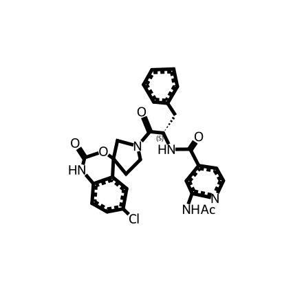 CC(=O)Nc1cc(C(=O)N[C@@H](Cc2ccccc2)C(=O)N2CCC3(C2)OC(=O)Nc2ccc(Cl)cc23)ccn1